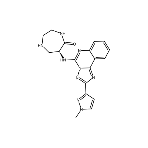 Cn1ccc(-c2nc3c4ccccc4nc(N[C@H]4CNCCNC4=O)n3n2)n1